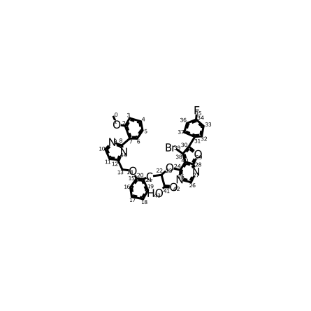 COc1ccccc1-c1nccc(COc2ccccc2CC(Oc2ncnc3oc(-c4ccc(F)cc4)c(Br)c23)C(=O)O)n1